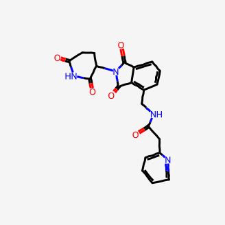 O=C(Cc1ccccn1)NCc1cccc2c1C(=O)N(C1CCC(=O)NC1=O)C2=O